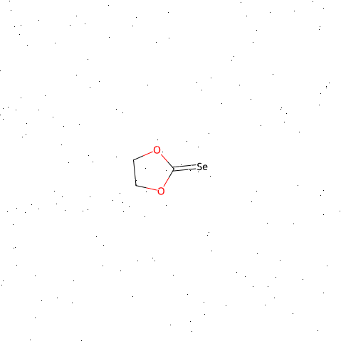 [Se]=C1OCCO1